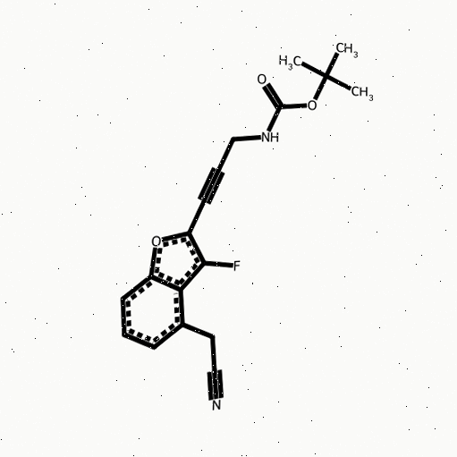 CC(C)(C)OC(=O)NCC#Cc1oc2cccc(CC#N)c2c1F